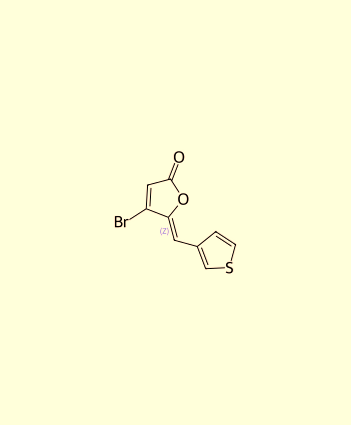 O=C1C=C(Br)/C(=C/c2ccsc2)O1